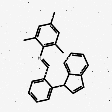 Cc1cc(C)c(/N=C/c2ccccc2C2C=Cc3ccccc32)c(C)c1